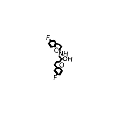 OC(CNC1CCc2cc(F)ccc2O1)C1CCc2cc(F)ccc2O1